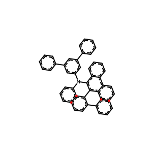 c1ccc(-c2cc(-c3ccccc3)cc(N(c3ccccc3)c3c(-c4ccccc4-c4ccccc4)c4ccccc4c4ccccc34)c2)cc1